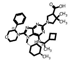 C[C@@H](Nc1nc(N2CC(C(=O)O)C(C)(C)C2)nc2nc(N3CCOC[C@H]3c3ccccc3)n(C[C@H]3CC[C@H](C)CC3)c12)C1CCC1